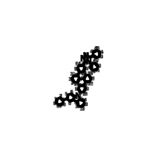 c1ccc(-c2ccc3c(c2)c2ccccc2n3-c2ccc(-c3ccccc3-c3ccccc3-c3ccc(-c4nnc(-c5ccccc5)n4-c4ccccc4)cc3)cc2)cc1